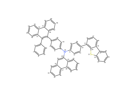 c1ccc(-c2c(-c3ccc(N(c4ccc(-c5cccc6c5sc5ccccc56)cc4)c4cc5ccccc5c5ccccc45)cc3)c3ccccc3c3ccccc23)cc1